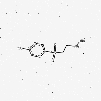 CC(C)(C)NCCS(=O)(=O)c1ccc(C(C)(C)C)nc1